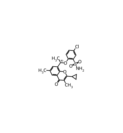 Cc1cc([C@@H](C)Oc2ccc(Cl)cc2S(N)(=O)=O)c2oc(C3CC3)c(C)c(=O)c2c1